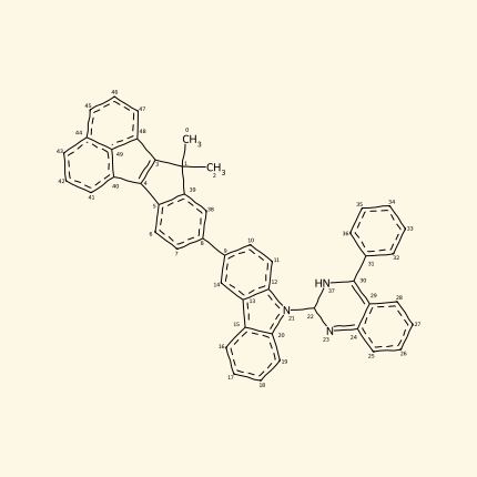 CC1(C)C2=C(c3ccc(-c4ccc5c(c4)c4ccccc4n5C4N=c5ccccc5=C(c5ccccc5)N4)cc31)c1cccc3cccc2c13